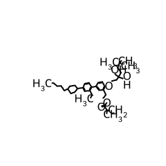 C=C(C)C(=O)OCCc1cc(-c2ccc(C3CCC(CCCCC)CC3)cc2CC)ccc1OCCC(CO)(CO)CCC(C)(C)C